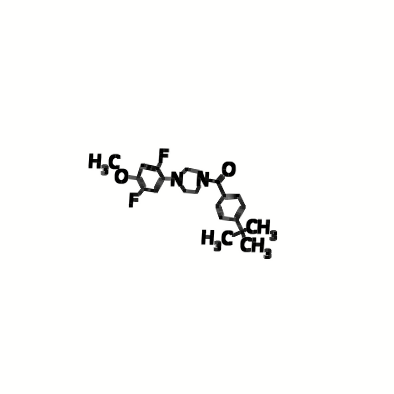 COc1cc(F)c(N2CCN(C(=O)c3ccc(C(C)(C)C)cc3)CC2)cc1F